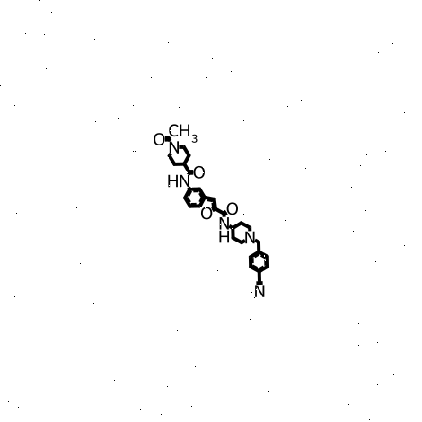 CC(=O)N1CCC(C(=O)Nc2ccc3oc(C(=O)NC4CCN(Cc5ccc(C#N)cc5)CC4)cc3c2)CC1